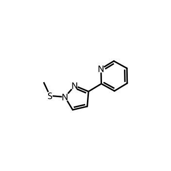 CSn1ccc(-c2ccccn2)n1